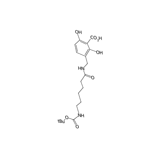 CC(C)(C)OC(=O)NCCCCCC(=O)NCc1ccc(O)c(C(=O)O)c1O